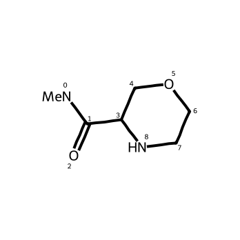 CNC(=O)C1COCCN1